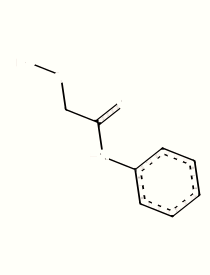 CSCC(=O)Nc1ccccc1